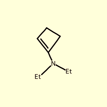 CCN(CC)C1=CCC1